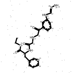 CCOC(=O)C(Cc1cccnc1)NC(=O)CNCC(=O)c1cccc(NC=NN)c1